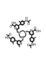 CC(=O)Nc1ccc(-c2cc(C)nc(CN3CCN(Cc4cc(-c5ccc(NC(C)=O)cc5C)cc(C(=O)O)n4)CCN(Cc4cc(-c5ccc(NC(C)=O)cc5C)cc(C(=O)O)n4)CC3)c2)c(C)c1